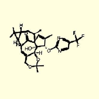 CC1=C[C@]23C(=O)[C@@H](C=C4COC(C)(C)O[C@H]4[C@]2(O)[C@H]1Oc1ncc(C(F)(F)F)cn1)[C@H]1[C@@H](C[C@H]3C)C1(C)C